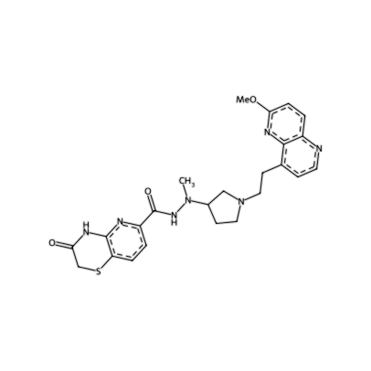 COc1ccc2nccc(CCN3CCC(N(C)NC(=O)c4ccc5c(n4)NC(=O)CS5)C3)c2n1